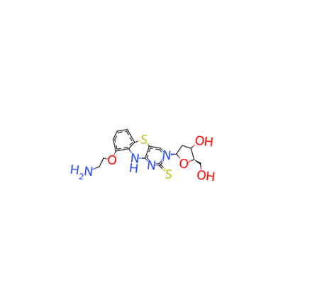 NCCOc1cccc2c1Nc1nc(=S)n([C@H]3CC(O)[C@@H](CO)O3)cc1S2